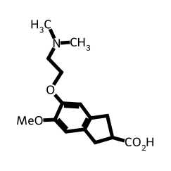 COc1cc2c(cc1OCCN(C)C)CC(C(=O)O)C2